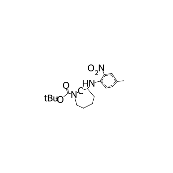 Cc1ccc(NC2CCCCN(C(=O)OC(C)(C)C)C2)c([N+](=O)[O-])c1